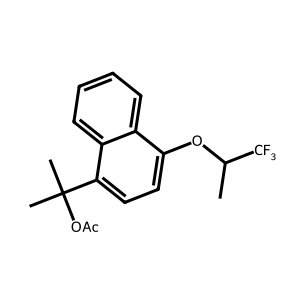 CC(=O)OC(C)(C)c1ccc(OC(C)C(F)(F)F)c2ccccc12